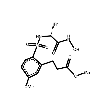 COc1ccc(S(=O)(=O)N[C@@H](C(=O)NO)C(C)C)c(CCC(=O)OC(C)(C)C)c1